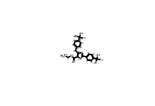 CCOC(=O)c1sc(-c2ccc(C(F)(F)F)cc2)nc1Cc1ccc(C(F)(F)F)cc1